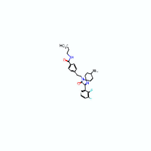 CC(C)(C)C1CCC2(CC1)N=C(c1cccc(F)c1F)C(=O)N2CCc1ccc(C(=O)NCCC(=O)O)cc1